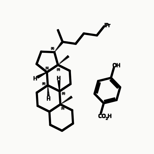 CC(C)CCCC(C)[C@H]1CC[C@H]2[C@@H]3CCC4CCCC[C@]4(C)[C@H]3CC[C@]12C.O=C(O)c1ccc(O)cc1